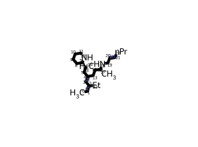 C/C=C(\C=C(\CC[C@H]1CCCCN1)CC(C)C(C)NC/C=C/CCC)CC